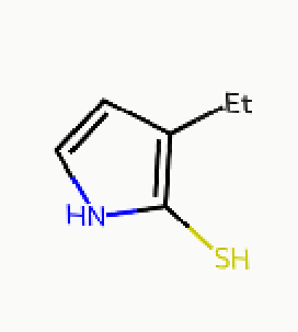 CCc1cc[nH]c1S